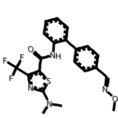 CO/N=C/c1ccc(-c2ccccc2NC(=O)c2sc(N(C)C)nc2C(F)(F)F)cc1